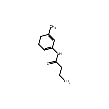 CCCC(=O)NC1=CCCC(C)=C1